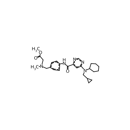 COC(=O)CN(C)Cc1ccc(NC(=O)c2cc(N(CC3CC3)C3CCCCC3)ncn2)cc1